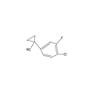 N#CC1(c2ccc(Cl)c(F)c2)CC1